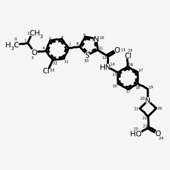 CC(C)Oc1ccc(-c2cnc(C(=O)Nc3ccc(CN4CC(C(=O)O)C4)cc3Cl)s2)cc1Cl